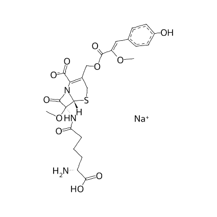 CO/C(=C\c1ccc(O)cc1)C(=O)OCC1=C(C(=O)[O-])N2C(=O)[C@](NC(=O)CCC[C@@H](N)C(=O)O)(OC)[C@H]2SC1.[Na+]